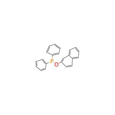 c1ccc(P(Oc2ccc3ccccc3c2)c2ccccc2)cc1